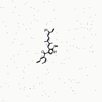 C=C/C=C(\C=C/C)C(=O)c1c[nH]c(N=C)c1/C=C(C)/C(C)=C/C=C(\C=C)C(C)C